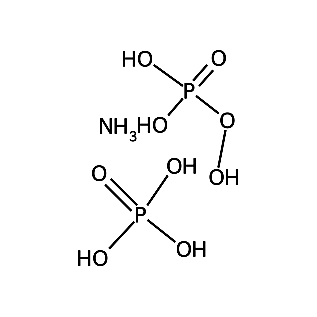 N.O=P(O)(O)O.O=P(O)(O)OO